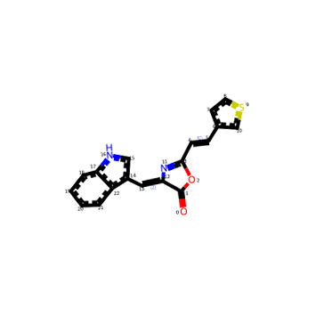 O=C1OC(/C=C/c2ccsc2)=NC/1=C\c1c[nH]c2ccccc12